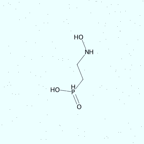 O=[PH](O)CCNO